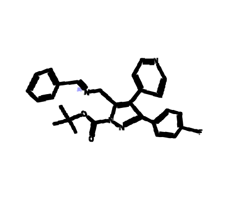 CC(C)(C)OC(=O)n1nc(-c2ccc(F)cc2)c(-c2ccncc2)c1C/N=C/c1ccccc1